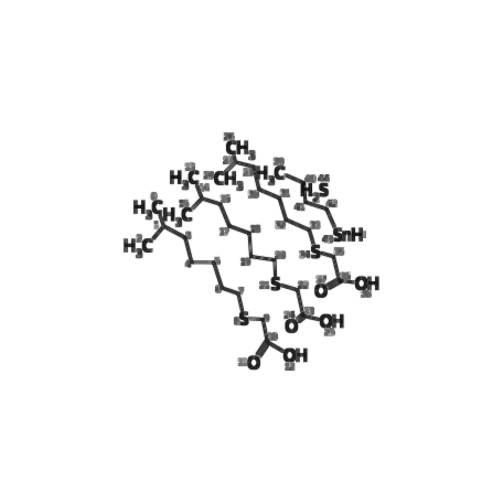 CC(C)CCCCCSCC(=O)O.CC(C)CCCCCSCC(=O)O.CC(C)CCCCCSCC(=O)O.CCC[CH2][SnH].S